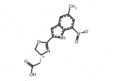 Cc1cc([N+](=O)[O-])c2[nH]c(C3=N[C@H](CC(=O)O)CO3)cc2c1